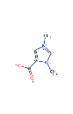 Cn1c[n+](C)cc1C(=O)[O-]